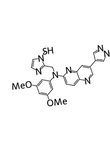 COc1cc(OC)cc(N(Cc2nccn2S)c2ccc3ncc(-c4cnn(C)c4)cc3n2)c1